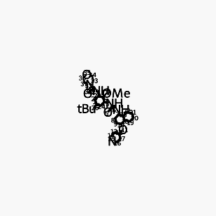 COc1c(NC(=O)Nc2ccc(Oc3ccncc3)c3ccccc23)cc(C(C)(C)C)cc1NC(=O)N1CCOCC1